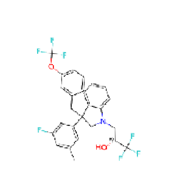 Cc1cc(F)cc(C2(Cc3cccc(OC(F)(F)F)c3)CN(C[C@@H](O)C(F)(F)F)c3ccccc32)c1